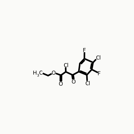 CCOC(=O)C(Cl)C(=O)c1cc(F)c(Cl)c(F)c1Cl